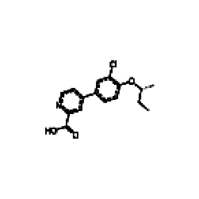 CC[C@@H](C)Oc1ccc(-c2ccnc(C(=O)O)c2)cc1Cl